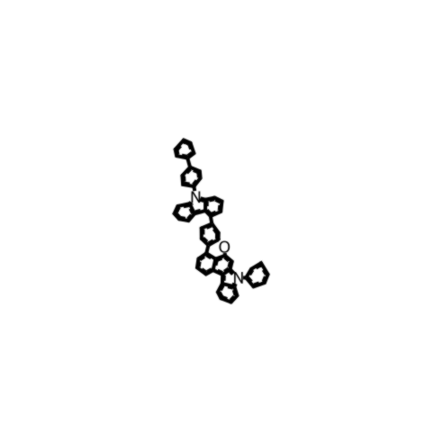 c1ccc(-c2ccc(-n3c4ccccc4c4c(-c5ccc6c(c5)Oc5cc7c(c8cccc-6c58)c5ccccc5n7-c5ccccc5)cccc43)cc2)cc1